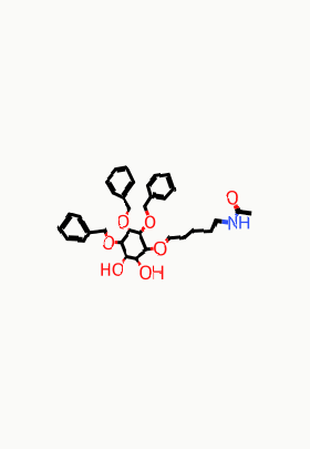 CC(=O)NCCCCCOC1C(O)C(O)C(OCc2ccccc2)C(OCc2ccccc2)C1OCc1ccccc1